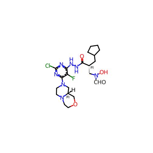 O=CN(O)C[C@@H](CC1CCCC1)C(=O)NNc1nc(Cl)nc(N2CCN3CCOC[C@H]3C2)c1F